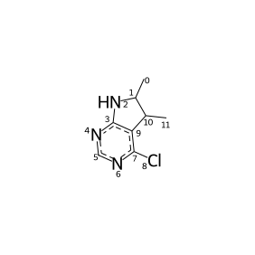 CC1Nc2ncnc(Cl)c2C1C